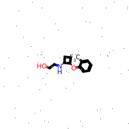 OCCN[C@@H]1CC[C@H]1Oc1ccccc1C(F)(F)F